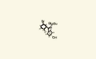 CC(C)(C)[S+]([O-])N=C1c2cc(Br)ccc2C[C@]12CC[C@@H](O)CC2